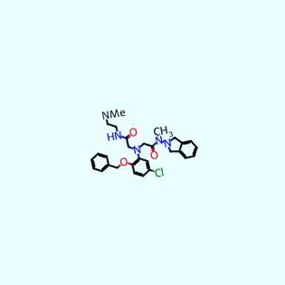 CNCCNC(=O)CN(CC(=O)N(C)N1Cc2ccccc2C1)c1cc(Cl)ccc1OCc1ccccc1